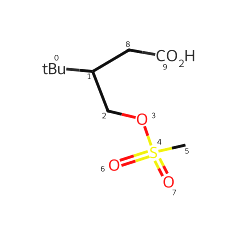 CC(C)(C)C(COS(C)(=O)=O)CC(=O)O